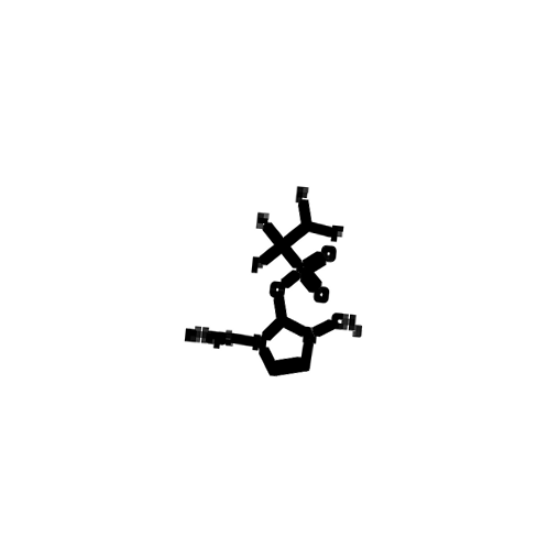 CCCCCCCN1C=CN(C)C1OS(=O)(=O)C(F)(F)C(F)F